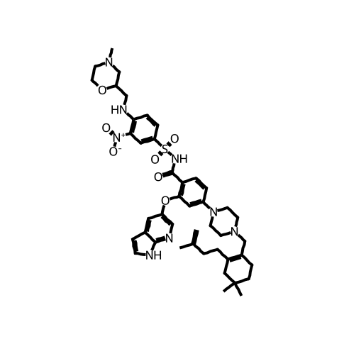 C=C(C)CCC1=C(CN2CCN(c3ccc(C(=O)NS(=O)(=O)c4ccc(NCC5CN(C)CCO5)c([N+](=O)[O-])c4)c(Oc4cnc5[nH]ccc5c4)c3)CC2)CCC(C)(C)C1